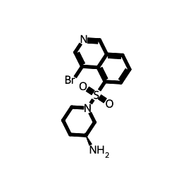 N[C@H]1CCCN(S(=O)(=O)c2cccc3cncc(Br)c23)C1